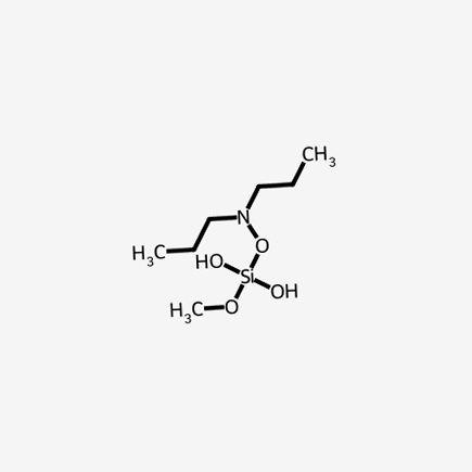 CCCN(CCC)O[Si](O)(O)OC